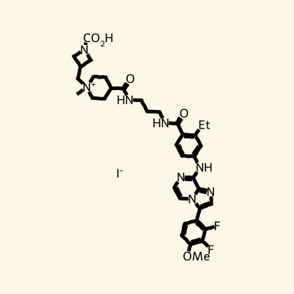 CCc1cc(Nc2nccn3c(-c4ccc(OC)c(F)c4F)cnc23)ccc1C(=O)NCCCNC(=O)C1CC[N+](C)(CC2CN(C(=O)O)C2)CC1.[I-]